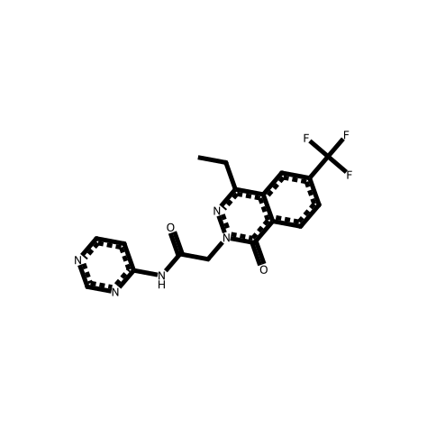 CCc1nn(CC(=O)Nc2ccncn2)c(=O)c2ccc(C(F)(F)F)cc12